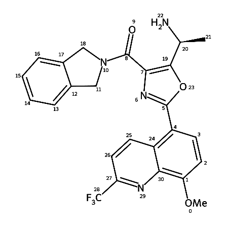 COc1ccc(-c2nc(C(=O)N3Cc4ccccc4C3)c([C@H](C)N)o2)c2ccc(C(F)(F)F)nc12